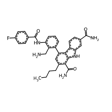 CCCCc1cc(-c2cccc(NC(=O)c3ccc(F)cc3)c2CN)c2c([nH]c3cc(C(N)=O)ccc32)c1C(N)=O